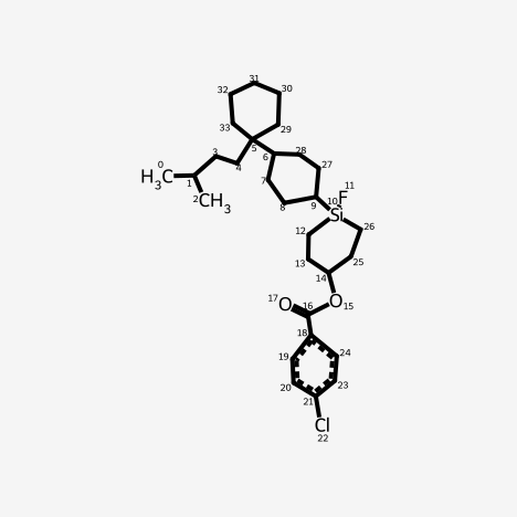 CC(C)CCC1(C2CCC([Si]3(F)CCC(OC(=O)c4ccc(Cl)cc4)CC3)CC2)CCCCC1